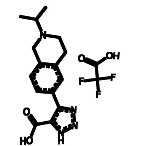 CC(C)N1CCc2cc(-c3nn[nH]c3C(=O)O)ccc2C1.O=C(O)C(F)(F)F